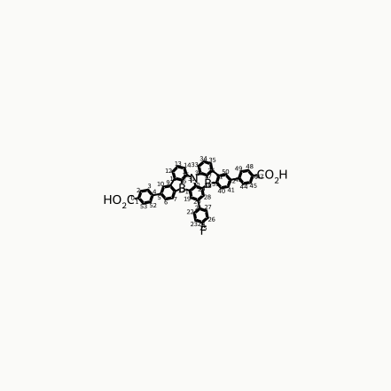 O=C(O)c1ccc(-c2ccc3c(c2)-c2cccc4c2B3c2cc(-c3ccc(F)cc3)cc3c2N4c2cccc4c2B3c2ccc(-c3ccc(C(=O)O)cc3)cc2-4)cc1